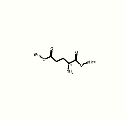 CCCCCCOC(=O)[C@@H](N)CCC(=O)OC(C)(C)C